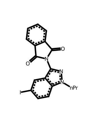 CCCn1nc(N2C(=O)c3ccccc3C2=O)c2cc(I)ccc21